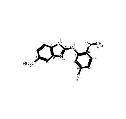 O=C(O)c1ccc2[nH]c(Nc3cc(Cl)ccc3OC(F)(F)F)nc2c1